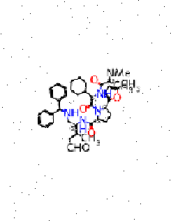 CN[C@@H](C)C(=O)N[C@H](C(=O)N1[C@@H](c2ccc(C)o2)CC[C@H]1C(=O)N[C@H](CNC(c1ccccc1)c1ccccc1)[C@@H](C)CC=O)C1CCCCC1